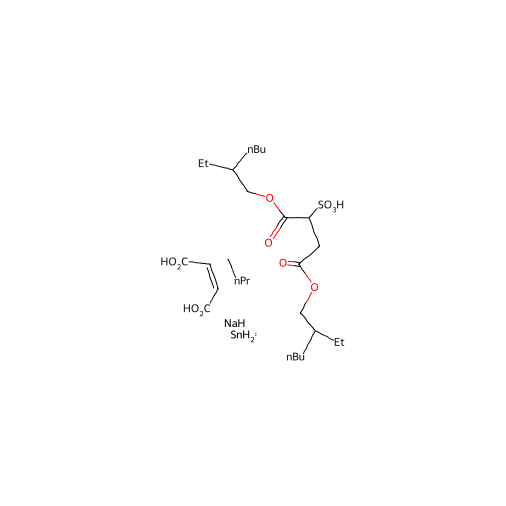 CCCC.CCCCC(CC)COC(=O)CC(C(=O)OCC(CC)CCCC)S(=O)(=O)O.O=C(O)/C=C\C(=O)O.[NaH].[SnH2]